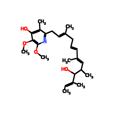 C/C=C(\C)C(O)C(C)/C=C(C)/C=C/C/C(C)=C/Cc1nc(OC)c(OC)c(O)c1C